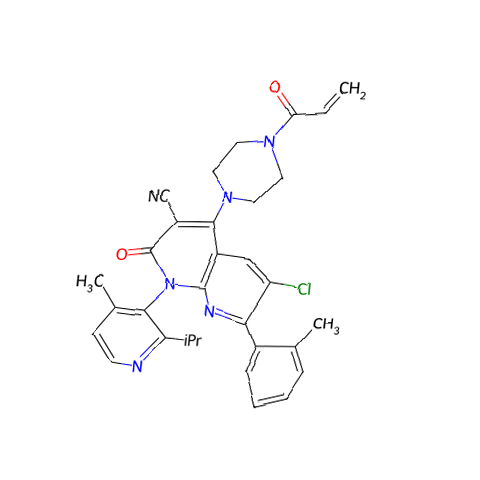 C=CC(=O)N1CCN(c2c(C#N)c(=O)n(-c3c(C)ccnc3C(C)C)c3nc(-c4ccccc4C)c(Cl)cc23)CC1